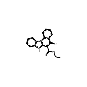 CCOC(=O)c1c(=O)c2ccccc2n2c1[nH]c1ccccc12